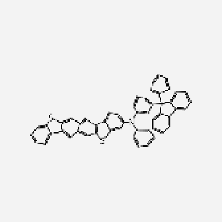 c1ccc(N(c2cccc(C3(c4ccccc4)c4ccccc4-c4ccccc43)c2)c2ccc3c(c2)sc2cc4cc5c(cc4cc23)sc2ccccc25)cc1